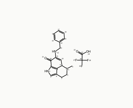 CN1CCc2c[nH]c3c2C1C=C(NCc1ccccc1)C3=O.O=C(O)C(F)(F)F